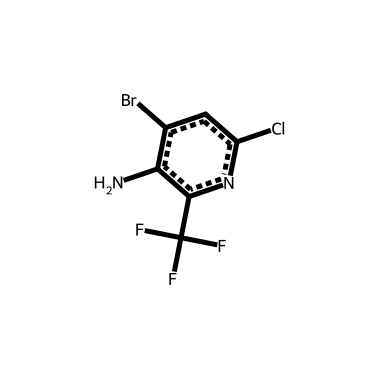 Nc1c(Br)cc(Cl)nc1C(F)(F)F